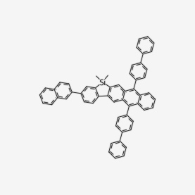 C[Si]1(C)c2cc(-c3ccc4ccccc4c3)ccc2-c2cc3c(-c4ccc(-c5ccccc5)cc4)c4ccccc4c(-c4ccc(-c5ccccc5)cc4)c3cc21